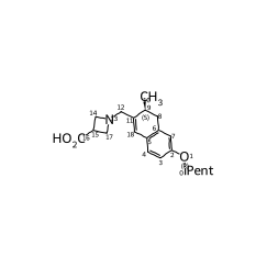 CCC[C@@H](C)Oc1ccc2c(c1)C[C@H](C)C(CN1CC(C(=O)O)C1)=C2